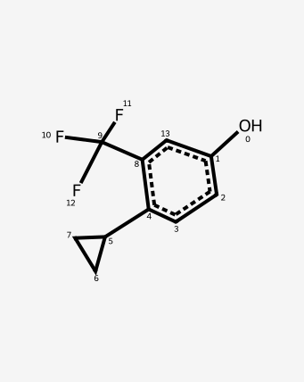 Oc1ccc(C2CC2)c(C(F)(F)F)c1